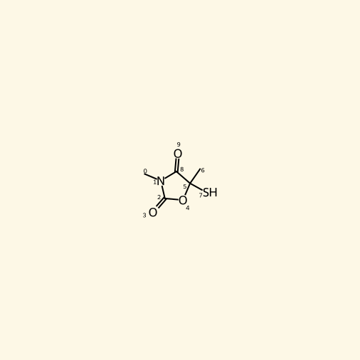 CN1C(=O)OC(C)(S)C1=O